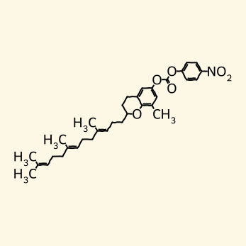 CC(C)=CCC/C(C)=C/CC/C(C)=C/CCC1CCc2cc(OC(=O)Oc3ccc([N+](=O)[O-])cc3)cc(C)c2O1